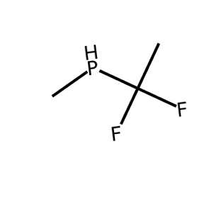 CPC(C)(F)F